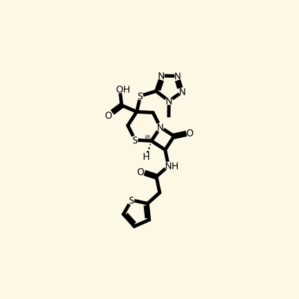 Cn1nnnc1SC1(C(=O)O)CS[C@@H]2C(NC(=O)Cc3cccs3)C(=O)N2C1